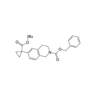 CC(C)(C)OC(=O)C1(c2ccc3c(c2)CCN(C(=O)OCc2ccccc2)C3)CC1